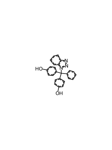 Oc1ccc(C(c2ccccc2)(c2ccc(O)cc2)n2nnc3ccccc32)cc1